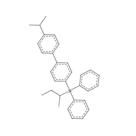 CCC(C)[Si](c1ccccc1)(c1ccccc1)c1ccc(-c2ccc(C(C)C)cc2)cc1